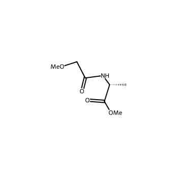 COCC(=O)N[C@H](C)C(=O)OC